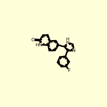 O=c1ccc2cc(-c3[nH]cnc3-c3cccc(F)c3)ccc2[nH]1